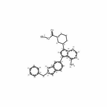 CC(C)(C)OC(=O)N1CCCC(c2cc(-c3ccc4cn(Cc5ccccc5)nc4c3)c3c(N)ncnn23)C1